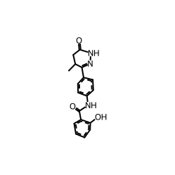 CC1CC(=O)NN=C1c1ccc(NC(=O)c2ccccc2O)cc1